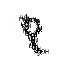 C=C1C2C[C@@H]3O[C@H]4C[C@H]5O[C@@]6(C[C@@H]7O[C@]8(C[C@H](C)C9O[C@H](C)[C@H](O)C[C@@H]9O8)C[C@H](C)[C@@H]7O6)C[C@H]5O[C@H]4[C@H](C)[C@H]3OC(=O)C[C@H]3CC[C@@H]4OC5C6O[C@]7(O)[C@H]5O[C@@](CC[C@H]5CC(=C)[C@H](CC[C@@H](C[C@H]1C)O2)O5)(O[C@H]6[C@H]4O3)[C@@H]7O